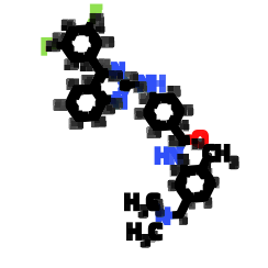 Cc1ccc(CN(C)C)cc1NC(=O)c1ccc(Nc2nc(-c3cc(F)cc(F)c3)c3ccccc3n2)cc1